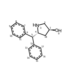 O[C@@H]1CN[C@@H](C(c2ccccc2)c2ccccc2)C1